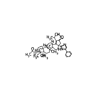 CC(=O)O[C@H]1CC[C@]2(C)[C@H]3CC[C@@H]4C5=C(C(C)C)C(=O)C[C@]5(c5ncc(-c6ccccc6)[nH]5)CC[C@@]4(C)[C@]3(C)CC[C@H]2C1(C)C